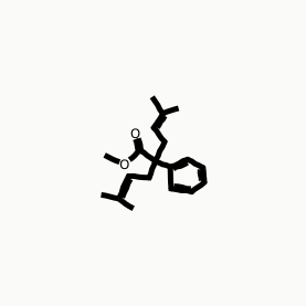 COC(=O)C(CC=C(C)C)(CC=C(C)C)c1ccccc1